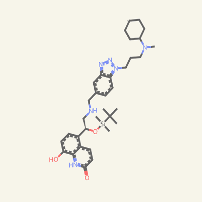 CN(CCCn1nnc2cc(CNC[C@@H](O[Si](C)(C)C(C)(C)C)c3ccc(O)c4[nH]c(=O)ccc34)ccc21)C1CC[CH]CC1